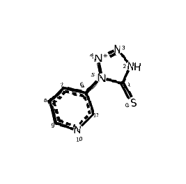 S=C1NN=[N+]N1c1cccnc1